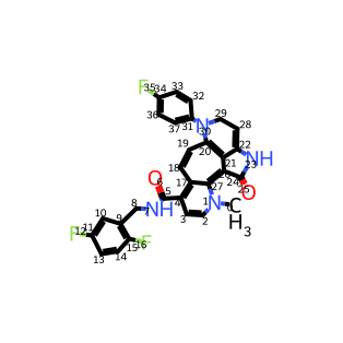 CN1C=CC(C(=O)NCc2cc(F)ccc2F)=c2ccc3c4c([nH]c(=O)c-4c21)=CCN3c1ccc(F)cc1